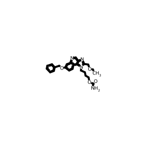 CCOCc1nc2cnc3cc(OCc4ccccc4)ccc3c2n1CCCCOC(N)=O